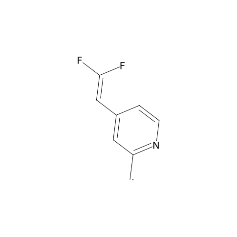 [CH2]c1cc(C=C(F)F)ccn1